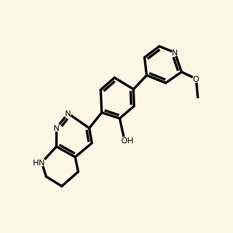 COc1cc(-c2ccc(-c3cc4c(nn3)NCCC4)c(O)c2)ccn1